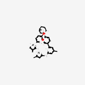 Cc1cc(Nc2cc(C)[nH]n2)nc(-c2ccc(N3CC4CC(C3)N4Cc3ccc(-n4cc(F)cn4)nc3)nc2)c1